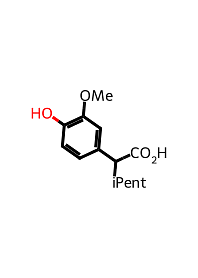 CCCC(C)C(C(=O)O)c1ccc(O)c(OC)c1